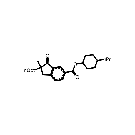 CCCCCCCCC1(C)Cc2ccc(C(=O)OC3CCC(CCC)CC3)cc2C1=O